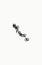 CCOC(=O)CCCCC(=O)OC[C@@H]1CC(c2ccc(-c3ccc(N4C[C@H](Cn5ccnn5)OC4=O)cc3F)cn2)=NO1